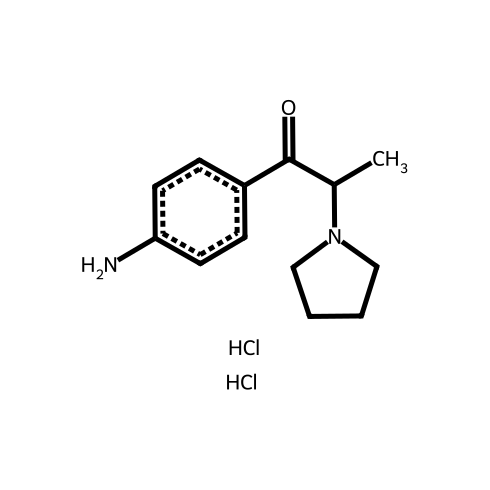 CC(C(=O)c1ccc(N)cc1)N1CCCC1.Cl.Cl